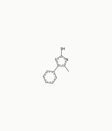 Cc1nc(S)sc1-c1ccccc1